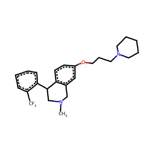 CN1Cc2cc(OCCCN3CCCCC3)ccc2C(c2ccccc2C(F)(F)F)C1